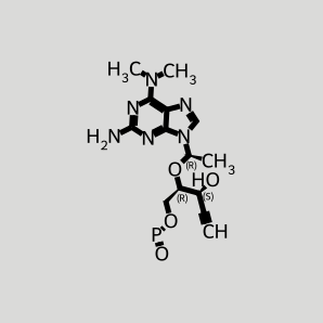 C#C[C@H](O)[C@@H](COP=O)O[C@H](C)n1cnc2c(N(C)C)nc(N)nc21